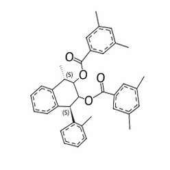 Cc1cc(C)cc(C(=O)OC2C(OC(=O)c3cc(C)cc(C)c3)[C@@H](C)c3ccccc3[C@@H]2c2ccccc2C)c1